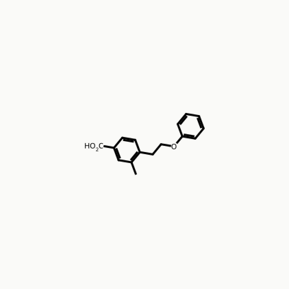 Cc1cc(C(=O)O)ccc1CCOc1ccccc1